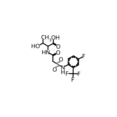 CC(O)C(NC(=O)CS(=O)(=O)Nc1ccc(F)cc1C(F)(F)F)C(=O)O